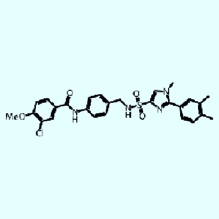 COc1ccc(C(=O)Nc2ccc(CNS(=O)(=O)c3cn(C)c(-c4ccc(C)c(C)c4)n3)cc2)cc1Cl